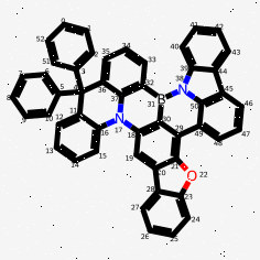 c1ccc(C2(c3ccccc3)c3ccccc3N3c4cc5c(oc6ccccc65)c5c4B(c4cccc2c43)n2c3ccccc3c3cccc-5c32)cc1